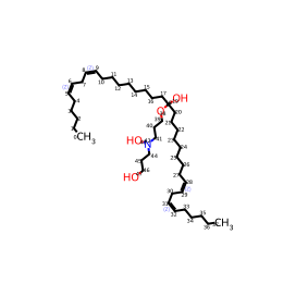 CCCCC/C=C\C/C=C\CCCCCCCCC(O)(CCCCCCCC/C=C\C/C=C\CCCCC)OCCCN(O)CCCO